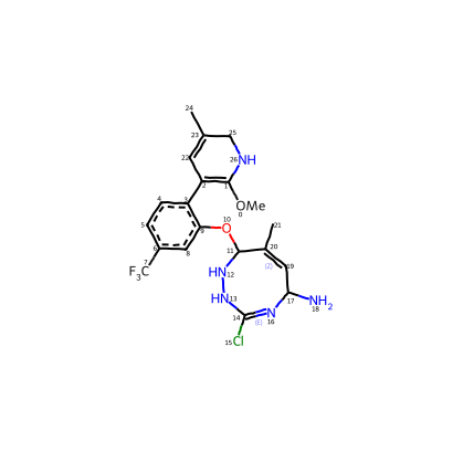 COC1=C(c2ccc(C(F)(F)F)cc2OC2NN/C(Cl)=N\C(N)/C=C\2C)C=C(C)CN1